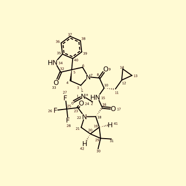 C=[N+](C)[C@@H]1C[C@@]2(CN1C(=O)[C@H](CC1CC1)NC(=O)[C@@H]1[C@@H]3[C@H](CN1C(=O)C(F)(F)F)C3(C)C)C(=O)Nc1ccccc12